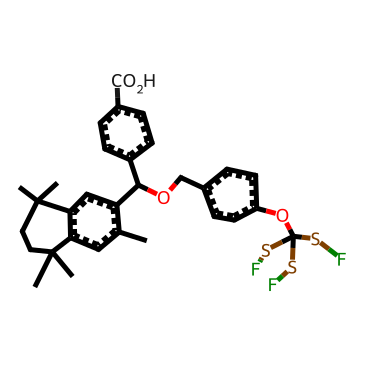 Cc1cc2c(cc1C(OCc1ccc(OC(SF)(SF)SF)cc1)c1ccc(C(=O)O)cc1)C(C)(C)CCC2(C)C